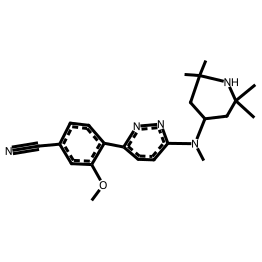 COc1cc(C#N)ccc1-c1ccc(N(C)C2CC(C)(C)NC(C)(C)C2)nn1